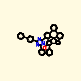 c1ccc(-c2ccc(-c3nc(-c4ccccc4)nc(-c4ccc5c(c4)C4(c6ccccc6-c6ccccc6-5)c5ccccc5-c5c4ccc4oc6ccccc6c54)n3)cc2)cc1